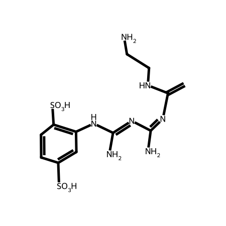 C=C(/N=C(N)\N=C(/N)Nc1cc(S(=O)(=O)O)ccc1S(=O)(=O)O)NCCN